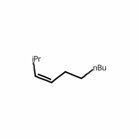 CCCCCC/C=C\C(C)C